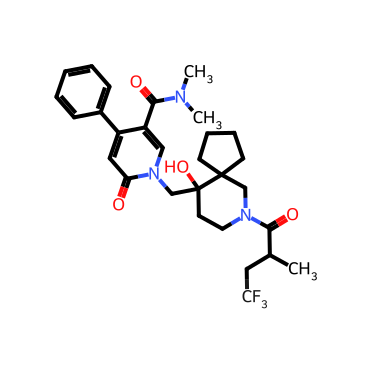 CC(CC(F)(F)F)C(=O)N1CCC(O)(Cn2cc(C(=O)N(C)C)c(-c3ccccc3)cc2=O)C2(CCCC2)C1